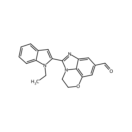 CCn1c(-c2nc3cc(C=O)cc4c3n2CCO4)cc2ccccc21